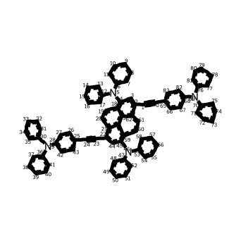 C(#Cc1cc(N(c2ccccc2)c2ccccc2)c2ccc3c(C#Cc4ccc(N(c5ccccc5)c5ccccc5)cc4)cc(N(c4ccccc4)c4ccccc4)c4ccc1c2c34)c1ccc(N(c2ccccc2)c2ccccc2)cc1